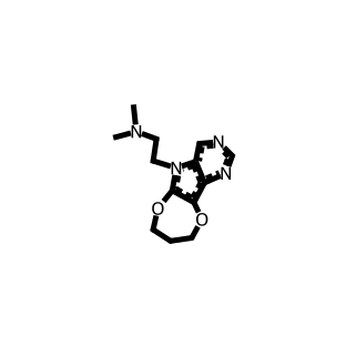 CN(C)CCn1c2c(c3ncncc31)OCCCO2